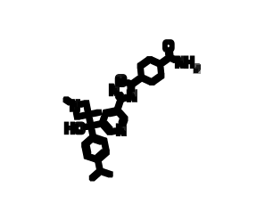 CC(C)c1ccc(C(O)(c2cncc(-c3noc(C4CCC(C(N)=O)CC4)n3)c2)C2(C)CN(C)C2)cc1